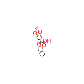 O=C(O)C(OC1CCC2(CCCCC2)CC1)c1ccc(S(=O)(=O)C2CC2)cc1